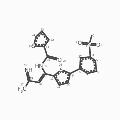 CS(=O)(=O)c1cccc(-c2ccc(/C(=C/C(=N)C(F)(F)F)NC(=O)c3cccs3)s2)c1